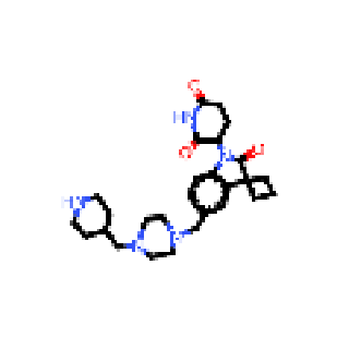 O=C1CCC(N2C(=O)C3(CCC3)c3cc(CN4CCN(CC5CCNCC5)CC4)ccc32)C(=O)N1